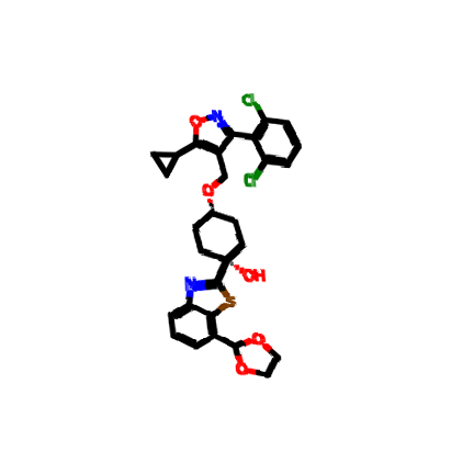 O[C@]1(c2nc3cccc(C4OCCO4)c3s2)CC[C@H](OCc2c(-c3c(Cl)cccc3Cl)noc2C2CC2)CC1